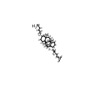 CN(C)CCON=C[C@H]1CC[C@@H]2[C@@H]3CC[C@@H]4C[C@@H](OCCCN)CC[C@]4(C)[C@H]3CC[C@@]21C